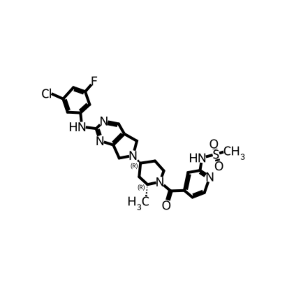 C[C@@H]1C[C@H](N2Cc3cnc(Nc4cc(F)cc(Cl)c4)nc3C2)CCN1C(=O)c1ccnc(NS(C)(=O)=O)c1